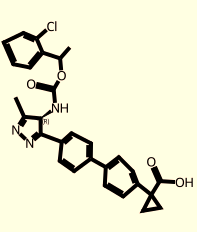 CC1=NN=C(c2ccc(-c3ccc(C4(C(=O)O)CC4)cc3)cc2)[C@@H]1NC(=O)OC(C)c1ccccc1Cl